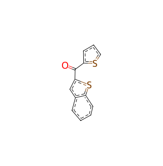 O=C(c1cccs1)c1cc2ccccc2s1